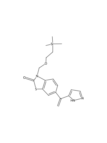 C=C(c1ccc2c(c1)sc(=O)n2COCC[Si](C)(C)C)c1ccn[nH]1